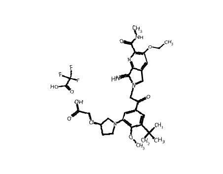 CCOc1cc2c(nc1C(=O)NC)C(=N)N(CC(=O)c1cc(N3CCC(OCC(=O)O)C3)c(OC)c(C(C)(C)C)c1)C2.O=C(O)C(F)(F)F